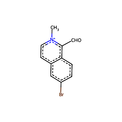 C[n+]1ccc2cc(Br)ccc2c1C=O